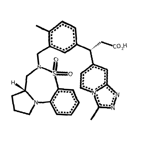 Cc1ccc([C@H](CC(=O)O)c2ccn3c(C)nnc3c2)cc1CN1C[C@H]2CCCN2c2ccccc2S1(=O)=O